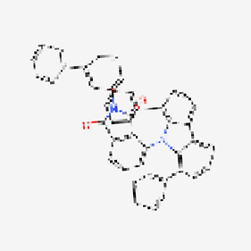 O=C1c2cccc(-n3c4c(-c5ccccc5)cccc4c4cccc(-c5ccccc5)c43)c2C(=O)N1c1cccc(-c2ccccc2)c1